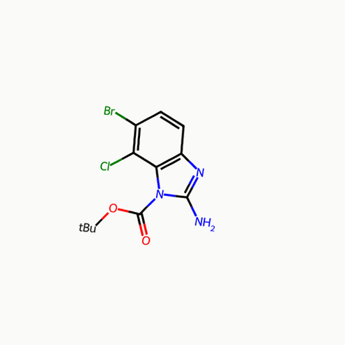 CC(C)(C)OC(=O)n1c(N)nc2ccc(Br)c(Cl)c21